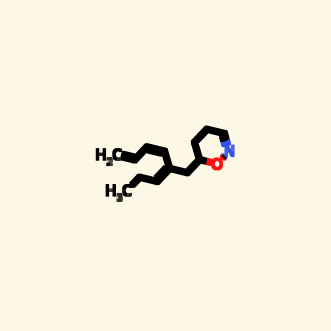 C=C/C=C\C(=C/CC)CC1CCC=NO1